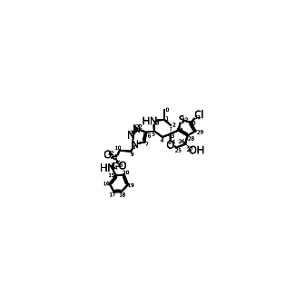 C[C@H]1C[C@@]2(C[C@@H](c3cn(CCS(=O)(=O)Nc4ccccc4)nn3)N1)OC[C@@H](O)c1cc(Cl)sc12